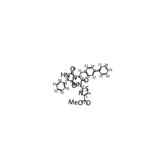 COC(=O)c1csc(NC(=O)[C@H](Cc2ccc(-c3ccccc3)cc2)N2C(=O)N[C@@H](c3ccccc3)C2=O)n1